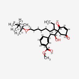 CCC(CCCCCCO[Si](C)(C)C(C)(C)C)C1(C(O)Cc2cccc(C(=O)OC)c2)CC(=O)C=CC1=O